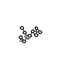 c1ccc(-c2ccc(-c3nc(-c4cccc5oc6ccccc6c45)nc4ccc(-c5cccc6c5-c5ccccc5C65c6ccccc6-c6ccccc65)cc34)cc2)cc1